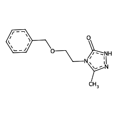 Cc1n[nH]c(=O)n1CCOCc1ccccc1